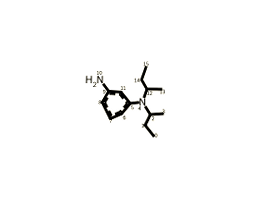 CCC(C)N(c1cccc(N)c1)C(C)CC